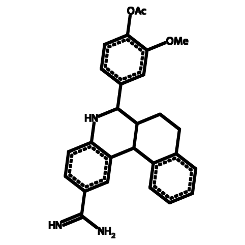 COc1cc(C2Nc3ccc(C(=N)N)cc3C3c4ccccc4CCC23)ccc1OC(C)=O